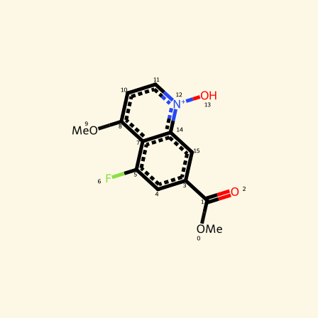 COC(=O)c1cc(F)c2c(OC)cc[n+](O)c2c1